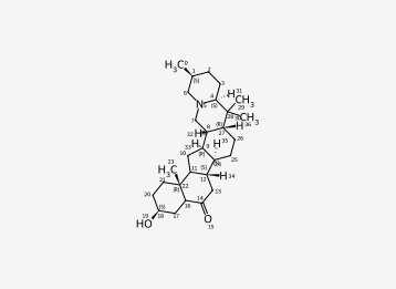 C[C@H]1CC[C@@H]2N(C1)C[C@H]1[C@@H]3CC4[C@@H](CC(=O)C5C[C@@H](O)CC[C@@]54C)[C@@H]3CC[C@H]1C2(C)C